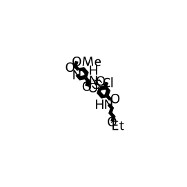 CCOCCCNC(=O)c1ccc(S(=O)(=O)NC(=O)c2ccc(C(=O)OC)nc2)c(Cl)c1